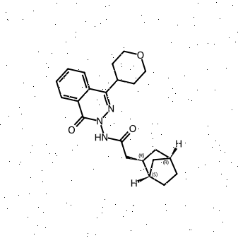 O=C(C[C@H]1C[C@@H]2CC[C@H]1C2)Nn1nc(C2CCOCC2)c2ccccc2c1=O